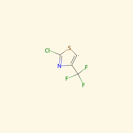 FC(F)(F)c1[c]sc(Cl)n1